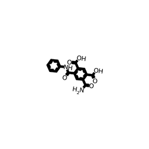 NC(=O)c1cc(C(=O)Nc2ccccc2)c(C(=O)O)cc1C(=O)O